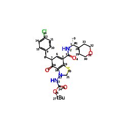 C[C@@H](NC(=O)C1=CC(Cc2ccc(Cl)cc2)C(=O)C2=C1SCN2NC(=O)OC(C)(C)C)C1CCOCC1